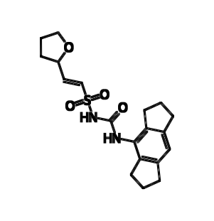 O=C(Nc1c2c(cc3c1CCC3)CCC2)NS(=O)(=O)/C=C/C1CCCO1